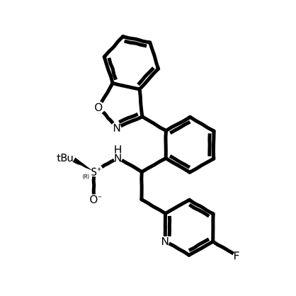 CC(C)(C)[S@+]([O-])NC(Cc1ccc(F)cn1)c1ccccc1-c1noc2ccccc12